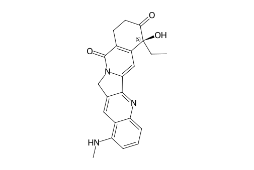 CC[C@@]1(O)C(=O)CCc2c1cc1n(c2=O)Cc2cc3c(NC)cccc3nc2-1